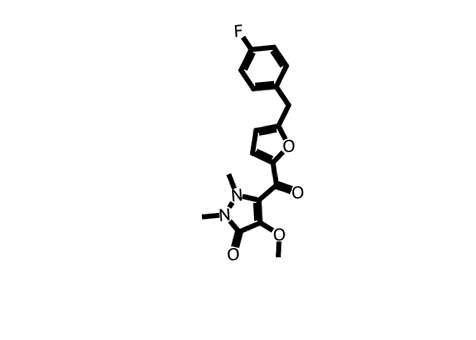 COc1c(C(=O)c2ccc(Cc3ccc(F)cc3)o2)n(C)n(C)c1=O